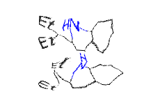 CCC(CC)C1CCC2CCCCC2N1.CCC(CC)C1CCC2CCCCC2N1